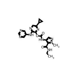 CCNC(=O)c1c(NC(=O)Oc2nc(C3CC3)cnc2Nc2cncnc2)cnn1C